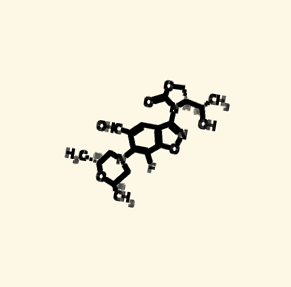 C[C@@H]1CN(c2c(C=O)cc3c(N4C(=O)OC[C@@H]4[C@H](C)O)noc3c2F)C[C@@H](C)O1